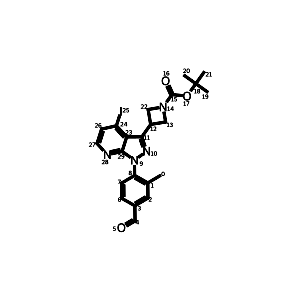 Cc1cc(C=O)ccc1-n1nc(C2CN(C(=O)OC(C)(C)C)C2)c2c(I)ccnc21